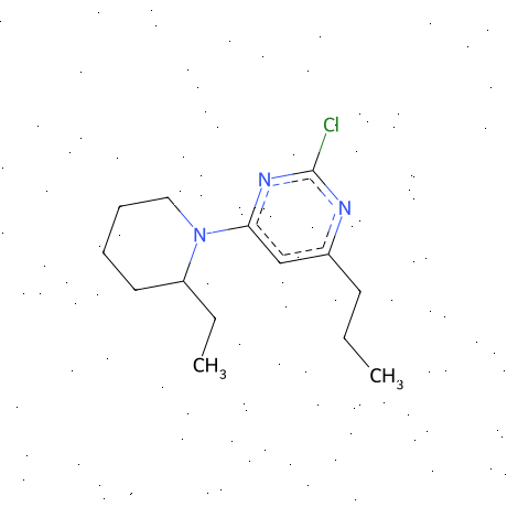 CCCc1cc(N2CCCCC2CC)nc(Cl)n1